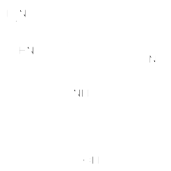 C/C(N)=C1/NCCC(Nc2cccc(O)c2)c2cc(C3=CCNC3)ccc21